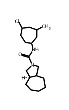 CC1CC(Cl)CCC(NC(=O)N2CC3CCCCC[C@H]3C2)C1